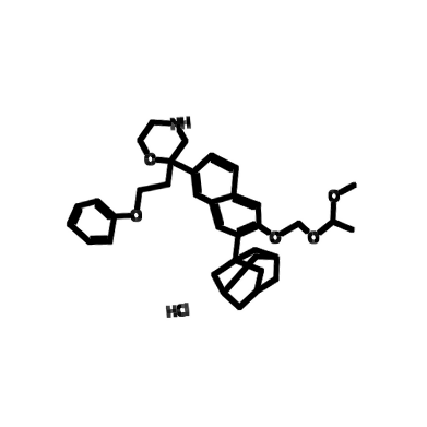 COC(C)OCOc1cc2ccc(C3(CCOc4ccccc4)CNCCO3)cc2cc1C12CC3CC(CC(C3)C1)C2.Cl